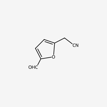 N#CCc1ccc(C=O)o1